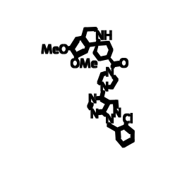 COc1cc2c(cc1OC)[C@]1(CC[C@H](C(=O)N3CCN(c4ncnc5c4cnn5Cc4ccccc4Cl)CC3)CC1)NCC2